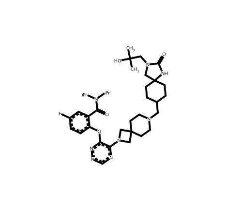 CC(C)N(C(=O)c1cc(F)ccc1Oc1nncnc1N1CC2(CCN(CC3CCC4(CC3)CN(CC(C)(C)O)C(=O)N4)CC2)C1)C(C)C